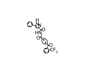 O=C(NCC(=O)N1CCN(C(=O)c2ccccc2C(F)(F)F)CC1)c1cc(-c2ccccc2)[nH]n1